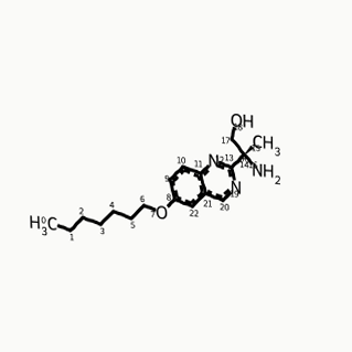 CCCCCCCOc1ccc2nc([C@@](C)(N)CO)ncc2c1